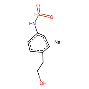 O=[SH](=O)Nc1ccc(CCO)cc1.[Na]